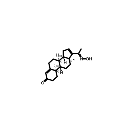 CC(=NO)C1=CC[C@H]2[C@@H]3CCC4=CC(=O)CC[C@]4(C)[C@H]3CC[C@]12C